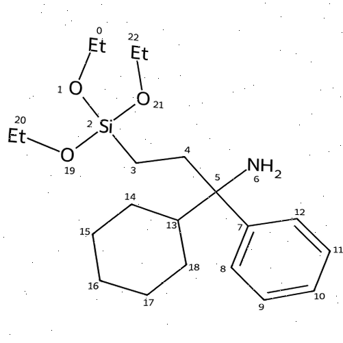 CCO[Si](CCC(N)(c1ccccc1)C1CCCCC1)(OCC)OCC